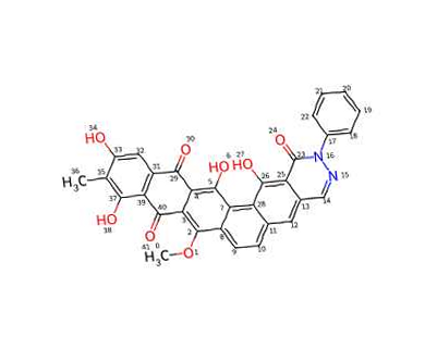 COc1c2c(c(O)c3c1ccc1cc4cnn(-c5ccccc5)c(=O)c4c(O)c13)C(=O)c1cc(O)c(C)c(O)c1C2=O